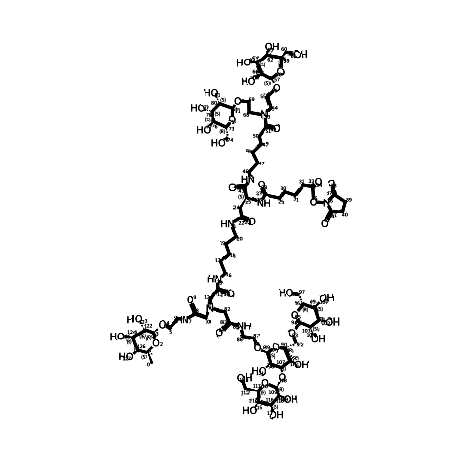 C[C@@H]1O[C@@H](OCCNC(=O)CN(CC(=O)NCCCCCNC(=O)C[C@H](NC(=O)CCCCC(=O)ON2C(=O)CCC2=O)C(=O)NCCCCCC(=O)N(CCO[C@H]2O[C@H](CO)[C@@H](O)[C@H](O)[C@@H]2O)CCO[C@H]2O[C@H](CO)[C@@H](O)[C@H](O)[C@@H]2O)CC(=O)NCCO[C@H]2O[C@H](CO[C@H]3O[C@H](CO)[C@@H](O)[C@H](O)[C@@H]3O)[C@@H](O)[C@H](O[C@H]3O[C@H](CO)[C@@H](O)[C@H](O)[C@@H]3O)[C@@H]2O)[C@@H](O)[C@H](O)[C@@H]1O